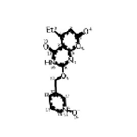 CCc1cc(=O)oc2nc(OCc3ccc[n+]([O-])c3)[nH]c(=O)c12